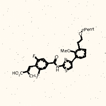 CCCCCOCCc1cccc(-c2csc(NC(=O)c3cc(F)c(C=C(C)C(=O)O)c(F)c3)n2)c1OC